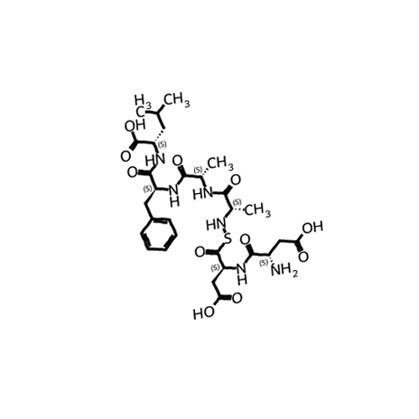 CC(C)C[C@H](NC(=O)[C@H](Cc1ccccc1)NC(=O)[C@H](C)NC(=O)[C@H](C)NSC(=O)[C@H](CC(=O)O)NC(=O)[C@@H](N)CC(=O)O)C(=O)O